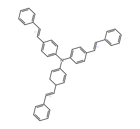 C1=CC(/C=C/c2ccccc2)CC=C1N(c1ccc(/C=C/c2ccccc2)cc1)c1ccc(/C=C/c2ccccc2)cc1